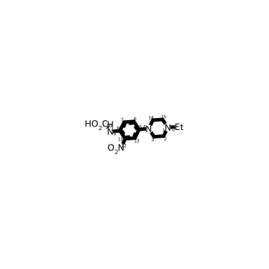 CCN1CCN(c2ccc(NC(=O)O)c([N+](=O)[O-])c2)CC1